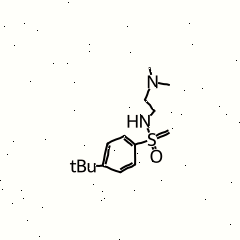 C=S(=O)(NCCN(C)C)c1ccc(C(C)(C)C)cc1